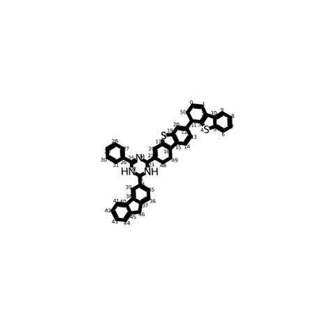 C1=Cc2c(sc3ccccc23)C(c2ccc3c4c(sc3c2)C=C(C2N=C(c3ccccc3)NC(c3ccc5c(c3)-c3ccccc3C5)N2)CC4)C1